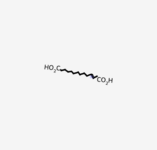 O=C(O)C/C=C/CCCCCCCCCC(=O)O